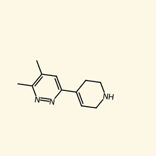 Cc1cc(C2=CCNCC2)nnc1C